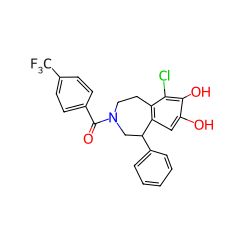 O=C(c1ccc(C(F)(F)F)cc1)N1CCc2c(cc(O)c(O)c2Cl)C(c2ccccc2)C1